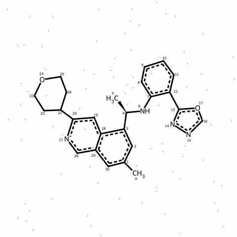 Cc1cc([C@@H](C)Nc2ccccc2-c2nnco2)c2cc(C3CCOCC3)ncc2c1